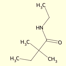 CCNC(=O)C(C)(C)CC